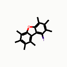 Cc1c(C)c(C)c2c(oc3c(C)c(C)c(C)c(I)c32)c1C